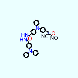 N#C/C(=C\c1ccc(N(c2ccccc2)c2ccc(C(=N)OC(=N)c3ccc(N(c4ccccc4)c4ccccc4)cc3)cc2)cc1)C(=O)N=O